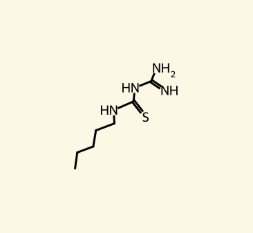 CCCCCNC(=S)NC(=N)N